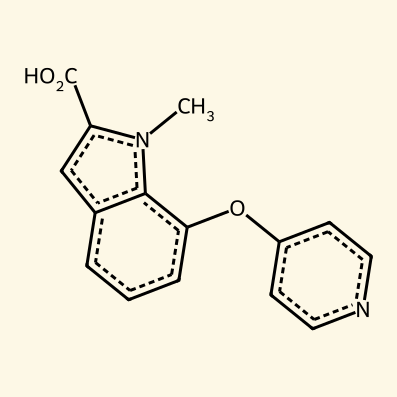 Cn1c(C(=O)O)cc2cccc(Oc3ccncc3)c21